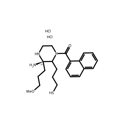 COCCC[C@]1(N)NCCN(C(=O)c2cccc3ccccc23)C1CCCS.Cl.Cl